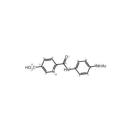 CC(=O)Nc1ccc(NC(=O)c2ccc(C(=O)O)cn2)cc1